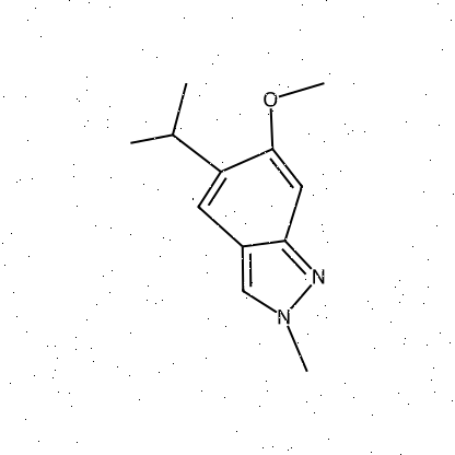 COc1cc2nn(C)cc2cc1C(C)C